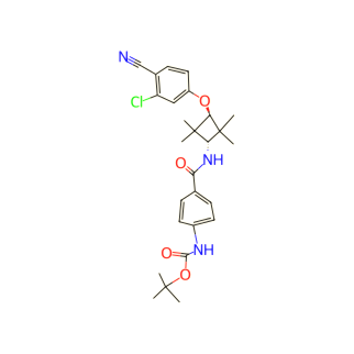 CC(C)(C)OC(=O)Nc1ccc(C(=O)N[C@H]2C(C)(C)[C@H](Oc3ccc(C#N)c(Cl)c3)C2(C)C)cc1